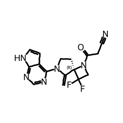 C=C1N(c2ncnc3[nH]ccc23)CC[C@@]12N(C(=O)CC#N)CC2(F)F